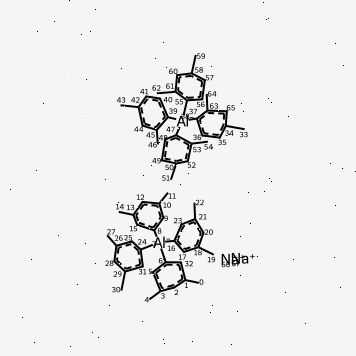 Cc1cc(C)c[c]([Al-]([c]2cc(C)cc(C)c2)([c]2cc(C)cc(C)c2)[c]2cc(C)cc(C)c2)c1.Cc1cc[c]([Al-]([c]2ccc(C)cc2C)([c]2ccc(C)cc2C)[c]2ccc(C)cc2C)c(C)c1.[Na+].[Na+]